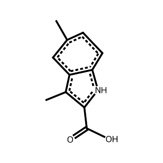 Cc1ccc2[nH]c(C(=O)O)c(C)c2c1